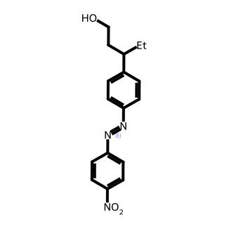 CCC(CCO)c1ccc(/N=N/c2ccc([N+](=O)[O-])cc2)cc1